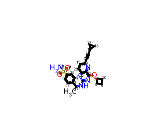 CC(Nc1nc(OC2CCC2)c2nc(C#CC3CC3)ccc2n1)c1ccc(S(N)(=O)=O)cc1